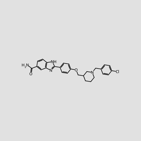 NC(=O)c1ccc2[nH]c(-c3ccc(OCC4CCCN(Cc5ccc(Cl)cc5)C4)cc3)nc2c1